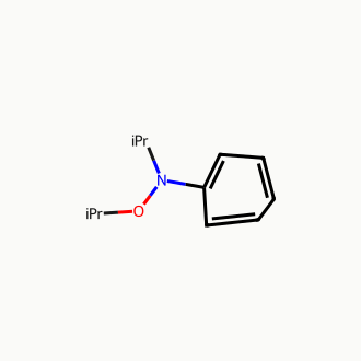 CC(C)ON(c1ccccc1)C(C)C